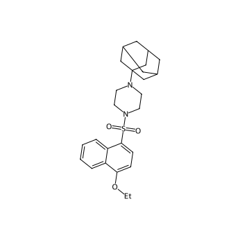 CCOc1ccc(S(=O)(=O)N2CCN(C34CC5CC(CC(C5)C3)C4)CC2)c2ccccc12